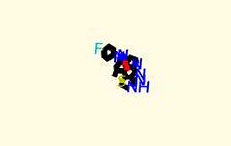 Cc1cc2c(cnn2-c2ccc(F)cc2)cc1C1SCCNc2c1c(-c1ccccn1)nn2C